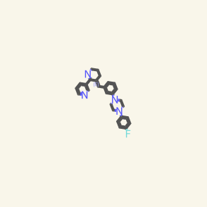 Fc1ccc(N2CCN(c3cccc(/C=C4\CCCN=C4c4cccnc4)c3)CC2)cc1